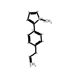 C=CCc1ccc(-c2cccn2C)cc1